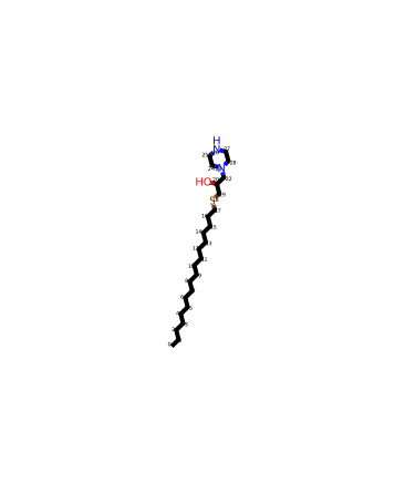 CCCCCCCCCCCCCCCCCCSCC(O)CN1CCNCC1